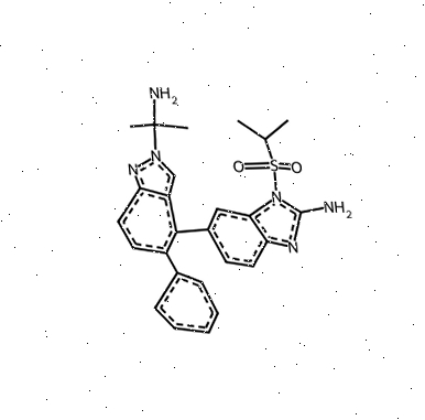 CC(C)S(=O)(=O)n1c(N)nc2ccc(-c3c(-c4ccccc4)ccc4nn(C(C)(C)N)cc34)cc21